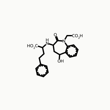 O=C(O)CN1C(=O)C(NC(CCc2ccccc2)C(=O)O)CC(O)c2ccccc21